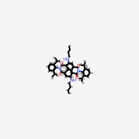 CCCCNc1cc2c3c(c(NCCCC)cc4c3c1C(=O)N(c1c(C(C)C)cccc1C(C)C)C4=O)C(=O)N(c1c(C(C)C)cccc1C(C)C)C2=O